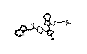 C[Si](C)(C)CCOCn1c(-c2nc(Br)sc2N2CCN(C(=O)Cn3ccc4cccnc43)CC2)nc2ccccc21